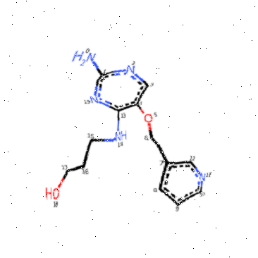 Nc1ncc(OCc2cccnc2)c(NCCCO)n1